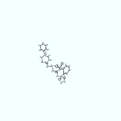 O=S1(=O)c2ccccc2C2(CN1CCCN1CCC(c3ccccc3)CC1)OCCO2